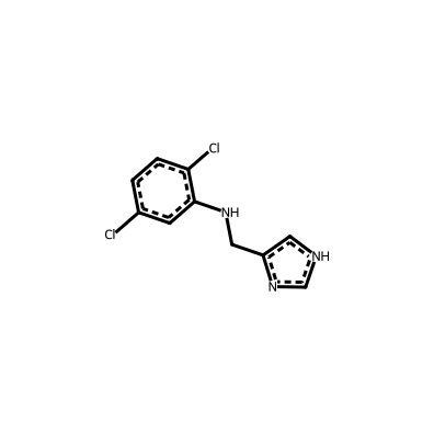 Clc1ccc(Cl)c(NCc2c[nH]cn2)c1